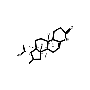 CC(O)[C@H]1C(C)C[C@H]2[C@@H]3CC=C4NC(=O)CC[C@]4(C)[C@H]3CC[C@]12C